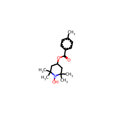 Cc1ccc(C(=O)OC2CC(C)(C)N(O)C(C)(C)C2)cc1